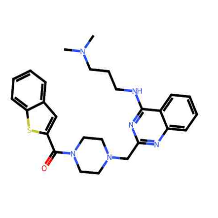 CN(C)CCCNc1nc(CN2CCN(C(=O)c3cc4ccccc4s3)CC2)nc2ccccc12